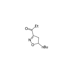 CCCCC1CC(C(=O)CC)=NO1